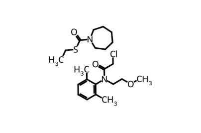 CCSC(=O)N1CCCCCC1.COCCN(C(=O)CCl)c1c(C)cccc1C